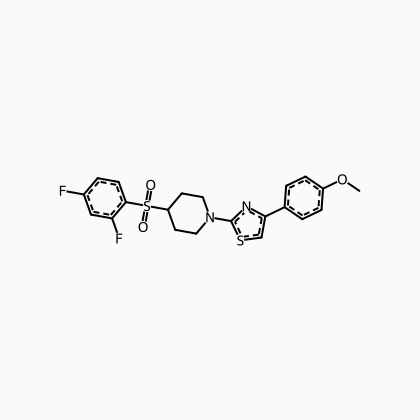 COc1ccc(-c2csc(N3CCC(S(=O)(=O)c4ccc(F)cc4F)CC3)n2)cc1